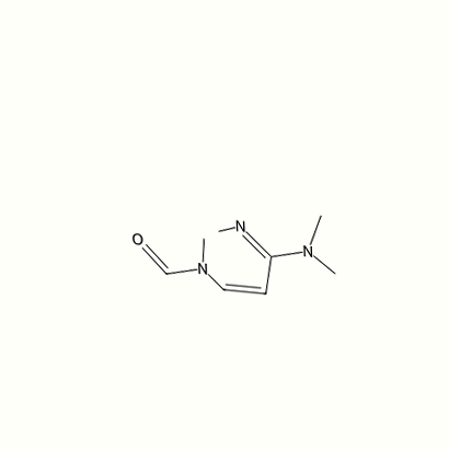 C/N=C(\C=C/N(C)C=O)N(C)C